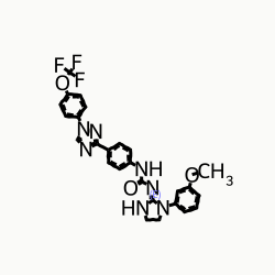 COc1cccc(N2CCN/C2=N\C(=O)Nc2ccc(-c3ncn(-c4ccc(OC(F)(F)F)cc4)n3)cc2)c1